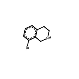 Brc1cccc2c1CNCC2